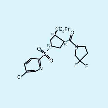 CCOC(=O)[C@@H]1C[C@@H](S(=O)(=O)c2ccc(Cl)cn2)C[C@H]1C(=O)N1CCC(F)(F)C1